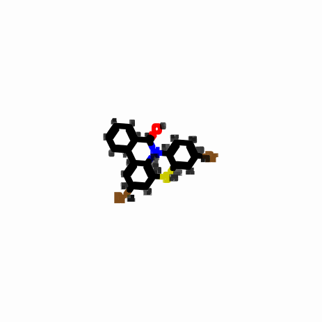 O=c1c2ccccc2c2cc(Br)cc3c2n1-c1ccc(Br)cc1S3